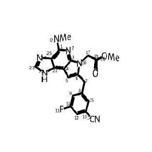 CNc1nc2c(cc(Cc3cc(F)cc(C#N)c3)n2CC(=O)OC)c2[nH]cnc12